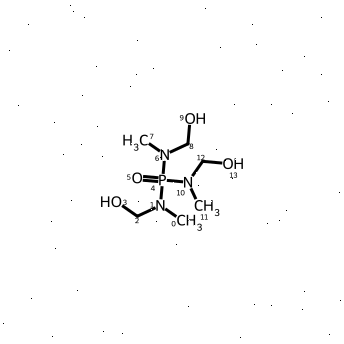 CN(CO)P(=O)(N(C)CO)N(C)CO